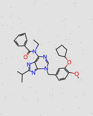 CCN(C(=O)c1ccccc1)c1ncn(Cc2ccc(OC)c(OC3CCCC3)c2)c2nc(C(C)C)nc1-2